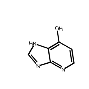 Oc1ccnc2nc[nH]c12